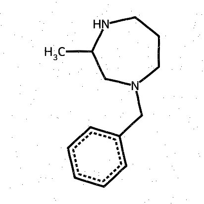 CC1CN(Cc2ccccc2)CCCN1